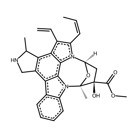 C=Cc1c(/C=C\C)n2c3c1c1c(c4c5ccccc5n(c43)[C@@]3(C)O[C@@H]2C[C@]3(O)C(=O)OC)CNC1C